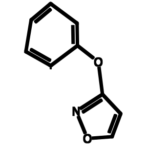 [c]1ccccc1Oc1ccon1